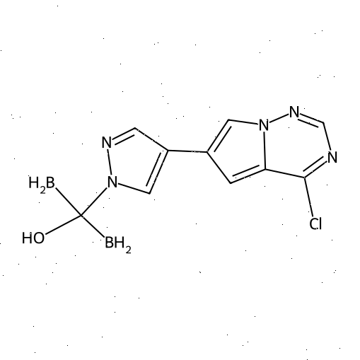 BC(B)(O)n1cc(-c2cc3c(Cl)ncnn3c2)cn1